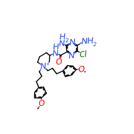 COc1ccc(CCC[N+]2(CCCc3ccc(OC)cc3)CCCC(NC(=O)c3nc(Cl)c(N)nc3N)C2)cc1